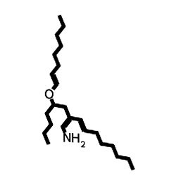 CCCCCCC=COC(CCCC)CC(C=CCCCCCC)=CN